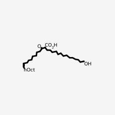 CCCCCCCC/C=C\CCCCCCCC(=O)C(CCCCCCCCCCCCCCO)C(=O)O